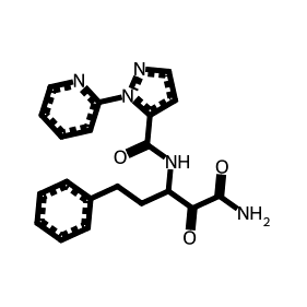 NC(=O)C(=O)C(CCc1ccccc1)NC(=O)c1ccnn1-c1ccccn1